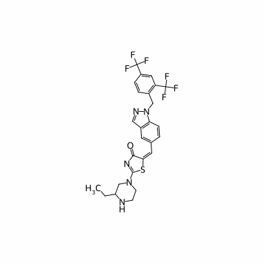 CCC1CN(C2=NC(=O)C(=Cc3ccc4c(cnn4Cc4ccc(C(F)(F)F)cc4C(F)(F)F)c3)S2)CCN1